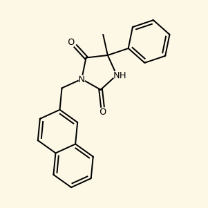 CC1(c2ccccc2)NC(=O)N(Cc2ccc3ccccc3c2)C1=O